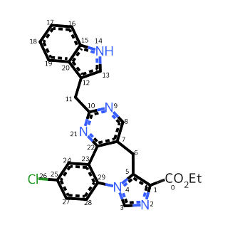 CCOC(=O)c1ncn2c1Cc1cnc(Cc3c[nH]c4ccccc34)nc1-c1cc(Cl)ccc1-2